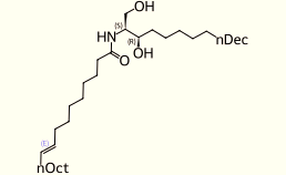 CCCCCCCC/C=C/CCCCCCCC(=O)N[C@@H](CO)[C@H](O)CCCCCCCCCCCCCCC